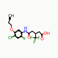 C#CCCOc1cc(NC(=O)CC(CC(=O)O)C(F)(F)F)c(F)cc1Cl